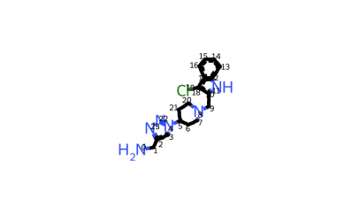 NCc1cn(C2CCN(Cc3[nH]c4ccccc4c3Cl)CC2)nn1